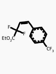 CCOC(=O)C(F)(F)/C=C\c1ccc(C(F)(F)F)cc1